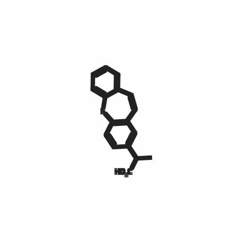 CC(C(=O)O)c1ccc2c(c1)C=Cc1ccccc1S2